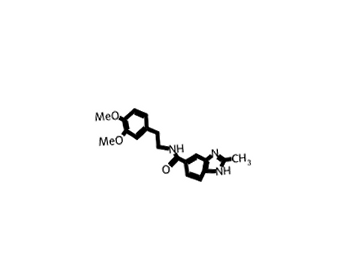 COc1ccc(CCNC(=O)c2ccc3[nH]c(C)nc3c2)cc1OC